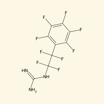 N=C(N)NC(F)(F)C(F)(F)c1c(F)c(F)c(F)c(F)c1F